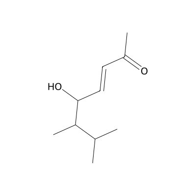 CC(=O)C=CC(O)C(C)C(C)C